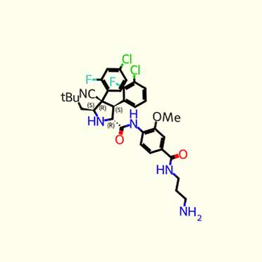 COc1cc(C(=O)NCCCN)ccc1NC(=O)[C@@H]1N[C@@H](CC(C)(C)C)[C@](C#N)(c2ccc(Cl)cc2F)[C@H]1c1cccc(Cl)c1F